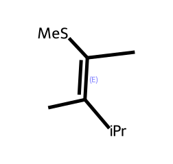 CS/C(C)=C(\C)C(C)C